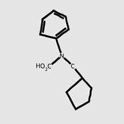 O=C(O)N(CC1CCCC1)c1ccccc1